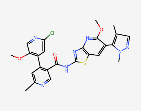 COc1cnc(Cl)cc1-c1cc(C)ncc1C(=O)Nc1nc2nc(OC)c(-c3c(C)cnn3C)cc2s1